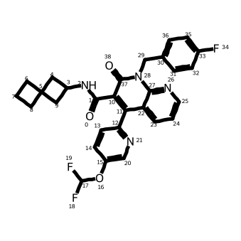 O=C(NC1CC2(CCC2)C1)c1c(-c2ccc(OC(F)F)cn2)c2cccnc2n(Cc2ccc(F)cc2)c1=O